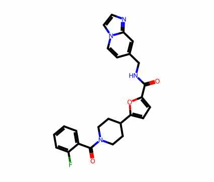 O=C(NCc1ccn2ccnc2c1)c1ccc(C2CCN(C(=O)c3ccccc3F)CC2)o1